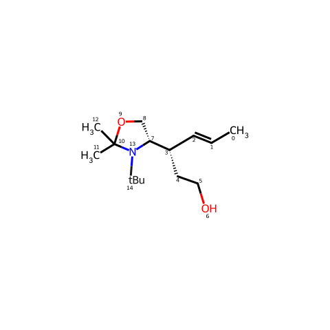 CC=C[C@H](CCO)[C@H]1COC(C)(C)N1C(C)(C)C